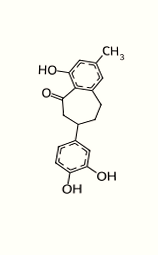 Cc1cc(O)c2c(c1)CCC(c1ccc(O)c(O)c1)CC2=O